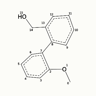 COc1ccccc1-c1ccccc1CO